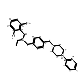 CCN(Cc1ccc(CN2CCN(c3[c]cccn3)CC2)cc1)Cc1c(F)cccc1Cl